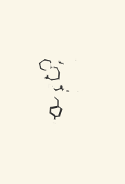 CCCCCCCCCCOC(=O)[C@H](CCc1ccc([N+](=O)[O-])cc1)N[C@H]1CC[C@@H](C(=O)OC(C)(C)C)N2CCCCN2C1=O